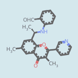 Cc1cc([C@@H](C)Nc2ccccc2C=O)c2oc(-c3cccnc3)c(C)c(=O)c2c1